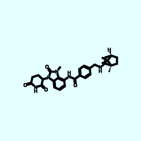 Cn1c(=O)n(C2CCC(=O)NC2=O)c2cccc(NC(=O)c3ccc(CN[C@H]4C[C@H]5CC[C@]4(C)C5(C)C)cc3)c21